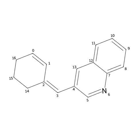 C1=CC(=Cc2cnc3ccccc3c2)CCC1